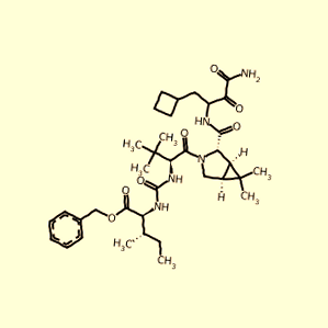 CC[C@H](C)[C@H](NC(=O)N[C@H](C(=O)N1C[C@H]2[C@@H]([C@H]1C(=O)NC(CC1CCC1)C(=O)C(N)=O)C2(C)C)C(C)(C)C)C(=O)OCc1ccccc1